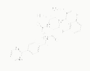 COC(=O)C(c1c(F)cccc1F)N1C[C@@H](C)N(C(=O)C(C)C)[C@@H](C(=O)NCc2ccc(-c3ncccn3)cc2)C1